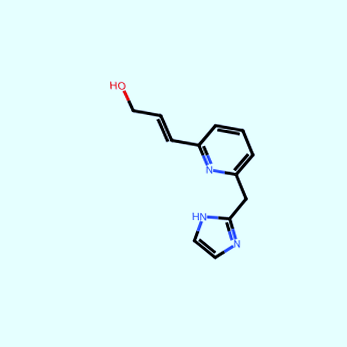 OCC=Cc1cccc(Cc2ncc[nH]2)n1